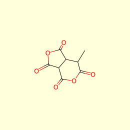 CC1C(=O)OC(=O)C2C(=O)OC(=O)C12